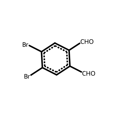 O=Cc1cc(Br)c(Br)cc1C=O